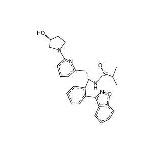 CC(C)[S@+]([O-])N[C@@H](Cc1cccc(N2CC[C@H](O)C2)n1)c1ccccc1-c1noc2ccccc12